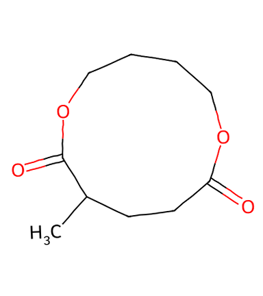 CC1CCC(=O)OCCCCOC1=O